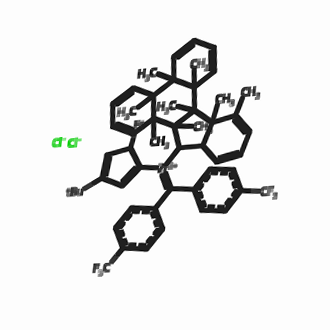 CCC1C=C(C(C)(C)C)C=[C]1[Zr+2](=[C](c1ccc(C(F)(F)F)cc1)c1ccc(C(F)(F)F)cc1)[CH]1C2C=CC=C(C)C2(C)C2(C)C3(C)C=CC=CC3(C)C3(C)C=CC=CC3(C)C12C.[Cl-].[Cl-]